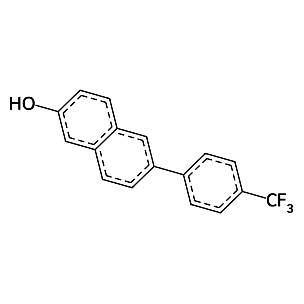 Oc1ccc2cc(-c3ccc(C(F)(F)F)cc3)ccc2c1